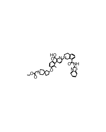 CCOC(=O)CN1CCC2(CC[C@H](Oc3cccc(-c4ccc(N5CCc6cccc(C(=O)Nc7nc8ccccc8s7)c6C5)nc4C(=O)O)c3C)C2)CC1